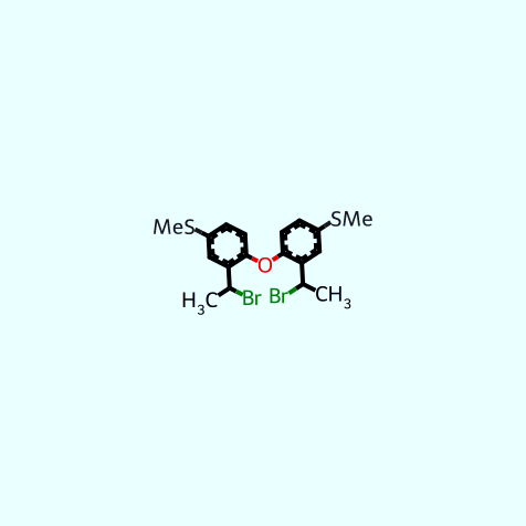 CSc1ccc(Oc2ccc(SC)cc2C(C)Br)c(C(C)Br)c1